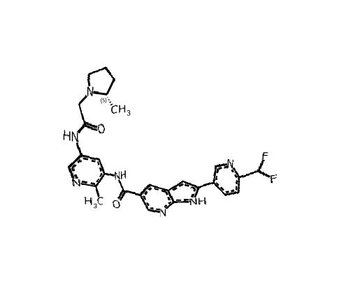 Cc1ncc(NC(=O)CN2CCC[C@@H]2C)cc1NC(=O)c1cnc2[nH]c(-c3ccc(C(F)F)nc3)cc2c1